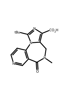 CN1Cc2c(C(=O)O)nc(C(C)(C)C)n2-c2ccncc2C1=O